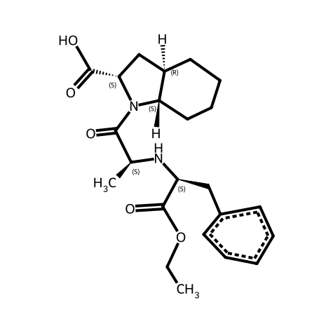 CCOC(=O)[C@H](Cc1ccccc1)N[C@@H](C)C(=O)N1[C@H](C(=O)O)C[C@H]2CCCC[C@@H]21